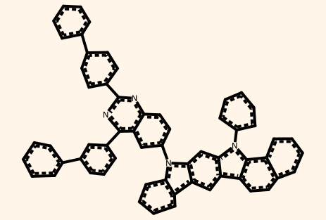 c1ccc(-c2ccc(-c3nc(-c4cccc(-c5ccccc5)c4)c4cc(-n5c6ccccc6c6cc7c8ccc9ccccc9c8n(-c8ccccc8)c7cc65)ccc4n3)cc2)cc1